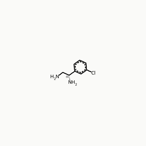 NC[C@@H](N)c1cccc(Cl)c1